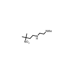 CNCCNCCC(C)(C)[N+](=O)[O-]